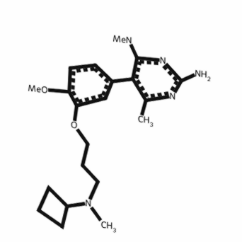 CNc1nc(N)nc(C)c1-c1ccc(OC)c(OCCCN(C)C2CCC2)c1